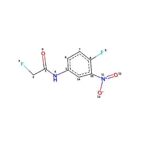 O=C(CF)Nc1ccc(F)c([N+](=O)[O-])c1